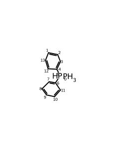 P.c1ccc(Pc2ccccc2)cc1